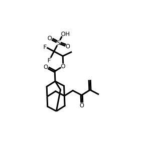 C=C(C)C(=O)CC12CC3CC(C1)CC(C(=O)OC(C)C(F)(F)S(=O)(=O)O)(C3)C2